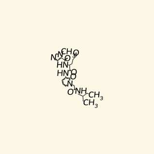 CCC(CC)CNC(=O)Cn1cccc(NC(=O)C(CCC=O)NC(=O)c2cncn2C)c1=O